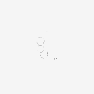 Cc1ccc2sc3cnc(C)cc3c2c1